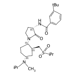 CC(C)N(C)[C@@H]1CC[C@H](N2CC[C@H](NC(=O)c3cccc(C(C)(C)C)c3)C2=O)[C@@H](CS(=O)(=O)C(C)C)C1